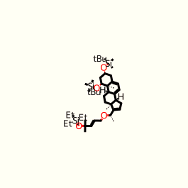 CC[Si](CC)(CC)OC(C)(C)/C=C/CO[C@@H](C)C1=CC[C@H]2C3=CC=C4C[C@@H](O[Si](C)(C)C(C)(C)C)C[C@H](O[Si](C)(C)C(C)(C)C)[C@]4(C)[C@H]3CC[C@]12C